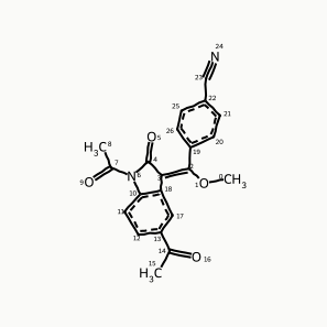 COC(=C1C(=O)N(C(C)=O)c2ccc(C(C)=O)cc21)c1ccc(C#N)cc1